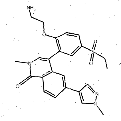 CCS(=O)(=O)c1ccc(OCCN)c(-c2cn(C)c(=O)c3ccc(-c4cnn(C)c4)cc23)c1